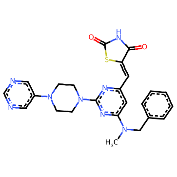 CN(Cc1ccccc1)c1cc(/C=C2\SC(=O)NC2=O)nc(N2CCN(c3cncnc3)CC2)n1